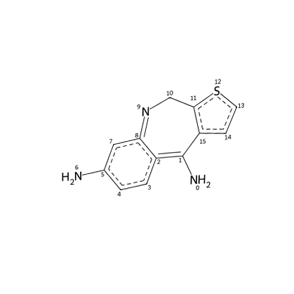 NC1=c2ccc(N)cc2=NCc2sccc21